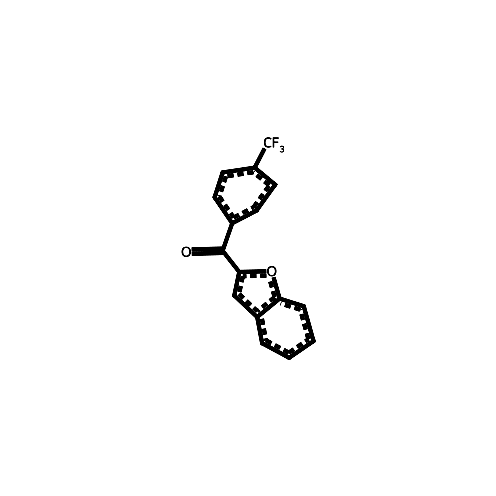 O=C(c1ccc(C(F)(F)F)cc1)c1cc2ccccc2o1